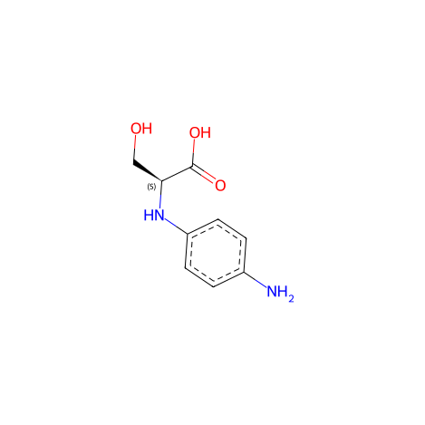 Nc1ccc(N[C@@H](CO)C(=O)O)cc1